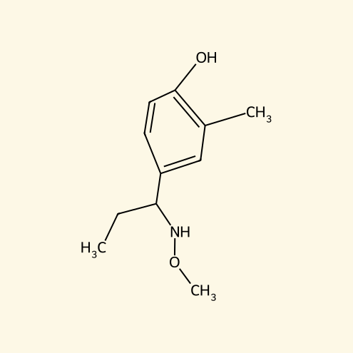 CCC(NOC)c1ccc(O)c(C)c1